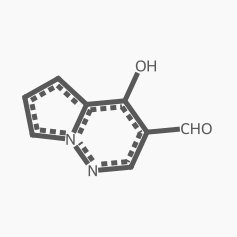 O=Cc1cnn2cccc2c1O